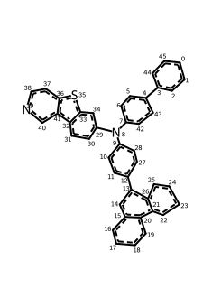 c1ccc(-c2ccc(N(c3ccc(-c4cc5ccccc5c5ccccc45)cc3)c3ccc4c(c3)sc3ccncc34)cc2)cc1